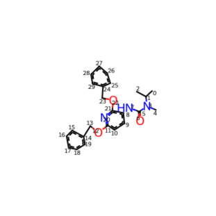 CC(C)N(C)C(=O)Nc1ccc(OCc2ccccc2)nc1OCc1ccccc1